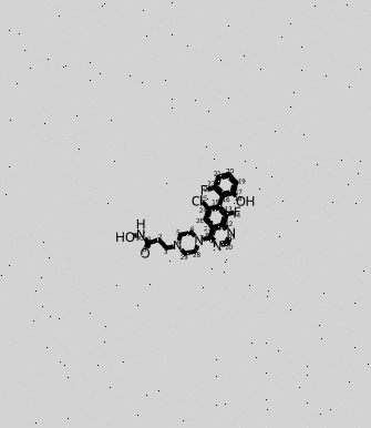 O=C(CCN1CCN(c2ncnc3c(F)c(-c4c(O)cccc4F)c(Cl)cc23)CC1)NO